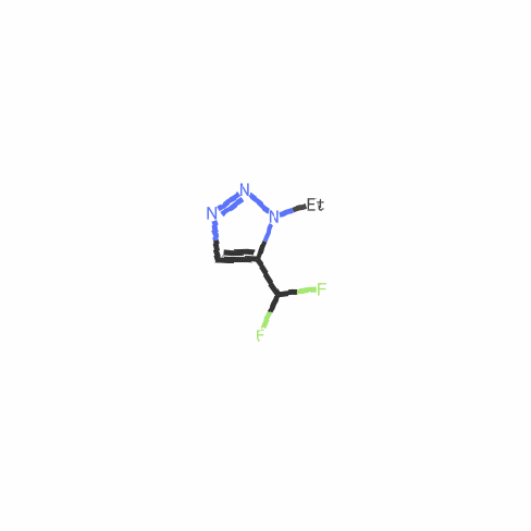 CCn1nncc1C(F)F